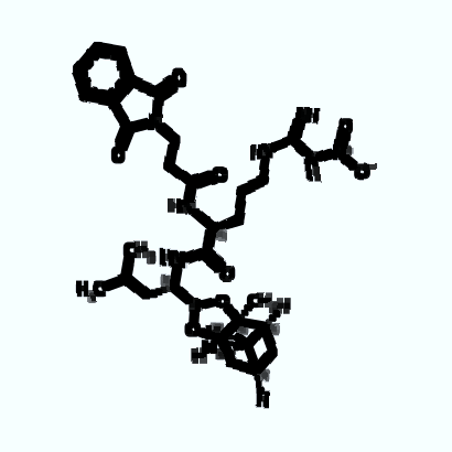 CC(C)C[C@H](NC(=O)[C@H](CCCNC(=N)N[N+](=O)[O-])NC(=O)CCN1C(=O)c2ccccc2C1=O)B1O[C@@H]2C[C@@H]3C[C@@H](C3(C)C)[C@]2(C)O1